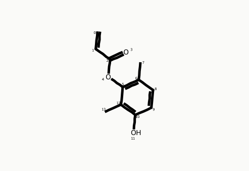 C=CC(=O)Oc1c(C)ccc(O)c1C